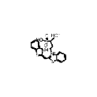 CC(CC[n+]1c(C=C2Nc3ccccc3S2)sc2ccccc21)S(=O)(=O)O.[OH-]